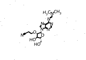 CN(C)/C=N/c1ncnc2c1ncn2[C@@H]1O[C@H](CO)C(O)[C@@H]1OCCC#N